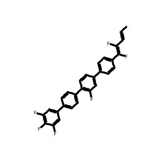 C/C=C/C(F)=C(\F)c1ccc(-c2ccc(-c3ccc(-c4cc(F)c(F)c(F)c4)cc3)c(F)c2)cc1